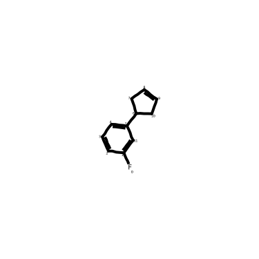 Fc1cccc(C2CC=CC2)c1